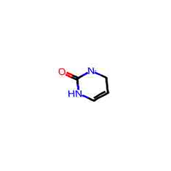 O=C1[N]CC=CN1